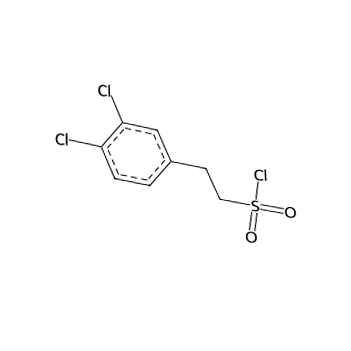 O=S(=O)(Cl)CCc1ccc(Cl)c(Cl)c1